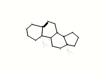 C[C@@]12CCCC1C1CC=C3CCCC[C@]3(C)C1CC2